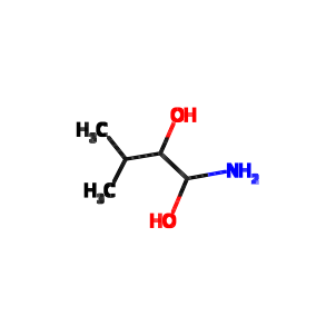 CC(C)C(O)C(N)O